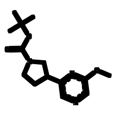 COc1cncc(C2CCN(C(=O)OC(C)(C)C)C2)n1